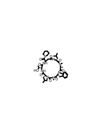 CC(C)C[C@@H]1NC(=O)CC(C(=O)N2CCCCC2)NC(=O)[C@H](C(C)O)NC(=O)[C@H](CC(C)C)N(C)C(=O)N(C)C(=O)[C@H](Cc2ccccc2)N(C)C(=O)[C@H](C)N(C)C1=O